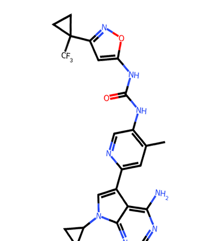 Cc1cc(-c2cn(C3CC3)c3ncnc(N)c23)ncc1NC(=O)Nc1cc(C2(C(F)(F)F)CC2)no1